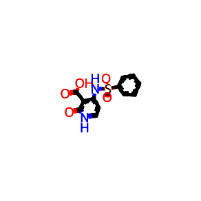 O=C(O)c1c(NS(=O)(=O)c2ccccc2)cc[nH]c1=O